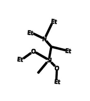 CCO[Si](C)(OCC)C(CC)N(CC)CC